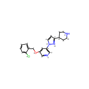 Clc1ccccc1COc1cncc(-n2ccc(C3CCNCC3)n2)c1